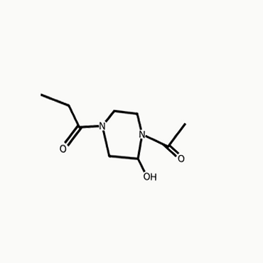 CCC(=O)N1CCN(C(C)=O)C(O)C1